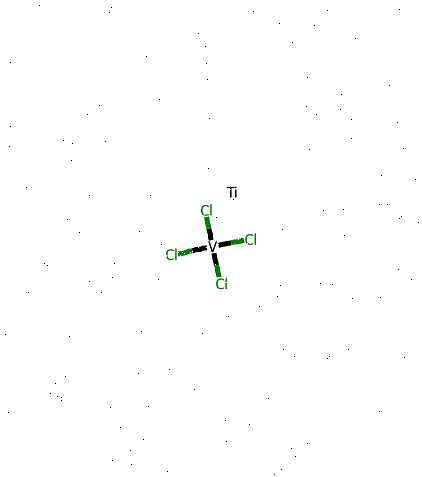 [Cl][V]([Cl])([Cl])[Cl].[Ti]